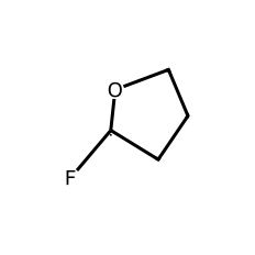 F[C]1CCCO1